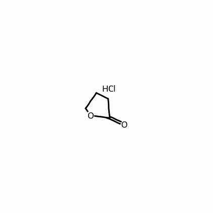 Cl.O=C1CCCO1